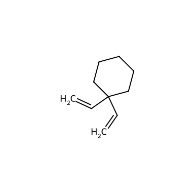 C=CC1(C=C)CCCCC1